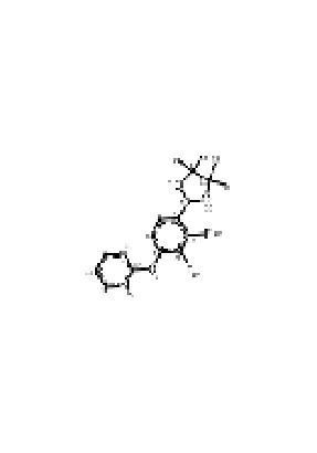 CC1(C)OB(c2ccc(Oc3ncccn3)c(F)c2F)OC1(C)C